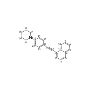 C(#Cc1cccc2ccccc12)c1ccc(N2CCCCC2)cc1